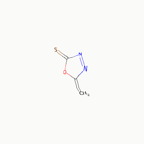 C=C1N=NC(=S)O1